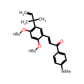 C=CC(C)(C)c1cc(C=CC(=O)c2ccc(NC)cc2)c(OCCCC)cc1OCCCC